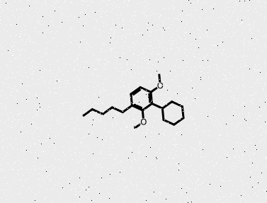 CCCCCc1ccc(OC)c(C2CCCCC2)c1OC